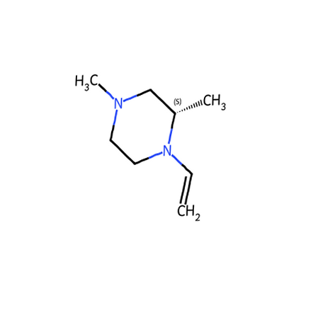 C=CN1CCN(C)C[C@@H]1C